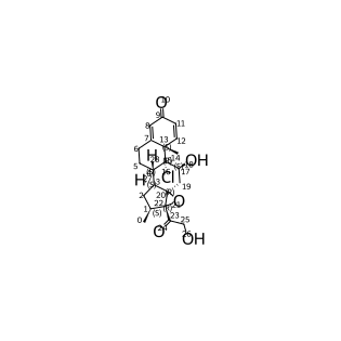 C[C@H]1C[C@H]2[C@@H]3CCC4=CC(=O)C=C[C@]4(C)[C@@]3(Cl)[C@@H](O)C[C@@]23O[C@]13C(=O)CO